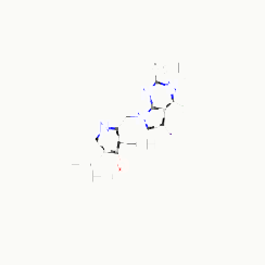 COc1c(C)cnc(Cn2cc(I)c3c(Cl)nc([AsH2])nc32)c1C